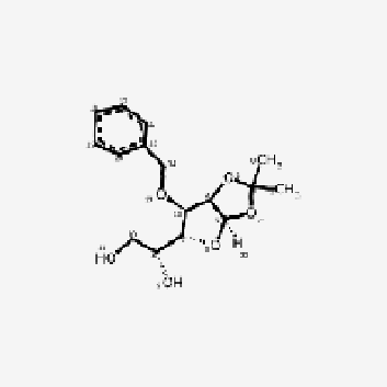 CC1(C)OC2[C@H](O[C@H]([C@H](O)CO)[C@H]2OCc2ccccc2)O1